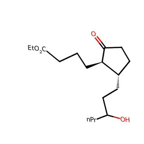 CCCC(O)CC[C@H]1CCC(=O)[C@@H]1CCCC(=O)OCC